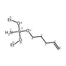 C=CCCCO[Si](N)(OCC)OCC